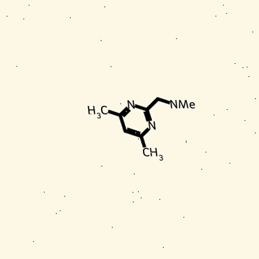 CNCc1nc(C)cc(C)n1